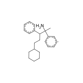 CC(N)(c1c[c]ccc1)C(CCC1CCCCC1)c1ccccc1